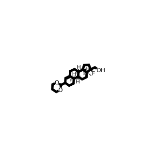 C[C@]12CC[C@H]3[C@@H](CCC4=CC(C5OCCCO5)CC[C@@H]43)[C@@H]1CC[C@]2(F)CO